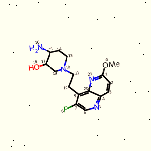 COc1ccc2ncc(F)c(CCN3CCC(N)C(O)C3)c2n1